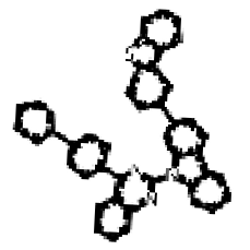 c1ccc(-c2ccc(-c3nc(-n4c5ccccc5c5ccc(-c6ccc7sc8ccccc8c7c6)cc54)nc4ccccc34)cc2)cc1